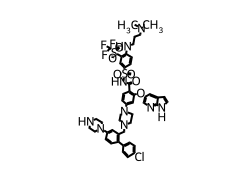 CN(C)CCCNc1ccc(S(=O)(=O)NC(=O)c2ccc(N3CCN(Cc4cc(N5CCNCC5)ccc4-c4ccc(Cl)cc4)CC3)cc2Oc2cnc3[nH]ccc3c2)cc1S(=O)(=O)C(F)(F)F